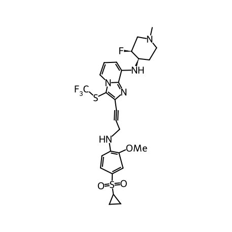 COc1cc(S(=O)(=O)C2CC2)ccc1NCC#Cc1nc2c(N[C@@H]3CCN(C)C[C@@H]3F)cccn2c1SC(F)(F)F